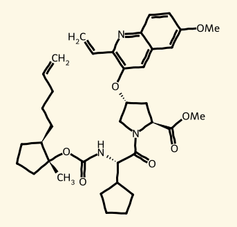 C=CCCC[C@@H]1CCC[C@@]1(C)OC(=O)N[C@H](C(=O)N1C[C@H](Oc2cc3cc(OC)ccc3nc2C=C)C[C@H]1C(=O)OC)C1CCCC1